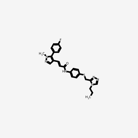 CCCn1cnnc1CSc1ccc(NC(=O)C=Cc2cnn(C)c2-c2ccc(F)cc2)cc1